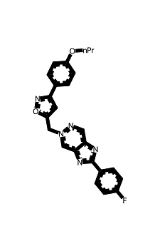 CCCOc1ccc(-c2cc(Cn3cc4nc(-c5ccc(F)cc5)nc-4cn3)on2)cc1